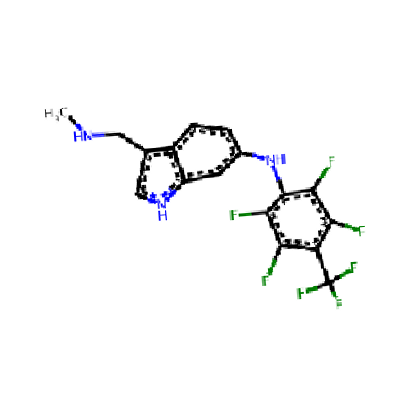 CNCc1c[nH]c2cc(Nc3c(F)c(F)c(C(F)(F)F)c(F)c3F)ccc12